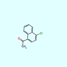 CC(=O)c1ccc(Cl)c2ccccc12